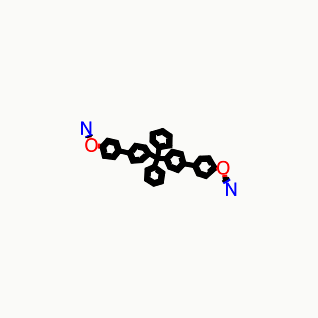 N#COc1ccc(-c2ccc(C(c3ccccc3)(c3ccccc3)c3ccc(-c4ccc(OC#N)cc4)cc3)cc2)cc1